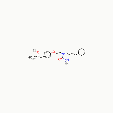 CCOC(Cc1ccc(OCCN(CCCCC2CCCCC2)C(=O)NC(C)CC)cc1)C(=O)O